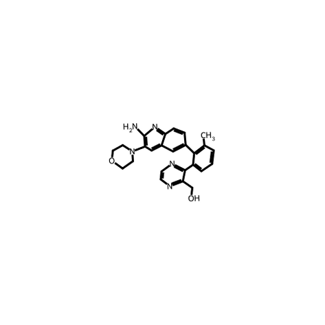 Cc1cccc(-c2nccnc2CO)c1-c1ccc2nc(N)c(N3CCOCC3)cc2c1